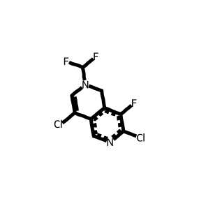 Fc1c(Cl)ncc2c1CN(C(F)F)C=C2Cl